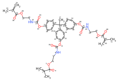 C=C(C)C(=O)OCCNC(=O)Oc1ccc(C(C)(c2ccc(OC(=O)NCCOC(=O)C(=C)C)cc2)c2ccc(OC(=O)NCCOC(=O)C(=C)C)cc2)cc1